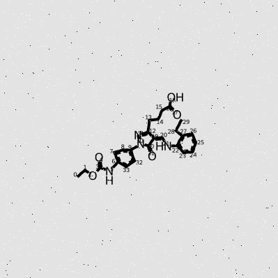 CCOC(=O)Nc1ccc(N2N=C(CCCC(=O)O)C(=CNc3ccccc3CC)C2=O)cc1